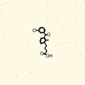 Cc1c(CCCC(=O)O)cccc1C(=O)c1cccc(Cl)c1